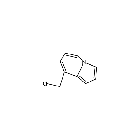 ClCc1cccn2cccc12